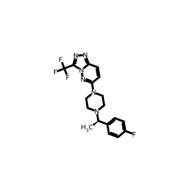 C[C@H](c1ccc(F)cc1)N1CCN(c2ccc3nnc(C(F)(F)F)n3n2)CC1